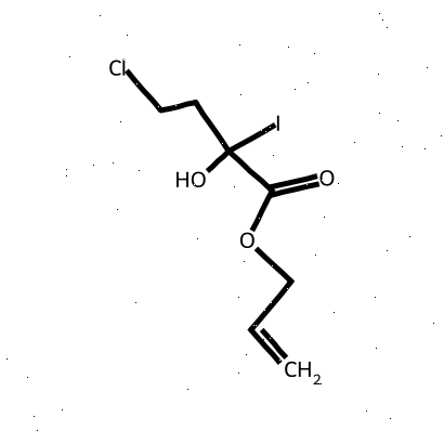 C=CCOC(=O)C(O)(I)CCCl